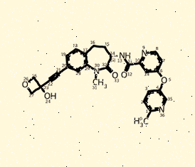 Cc1ccc(Oc2ccnc(C(=O)N[C@H]3CCc4ccc(C#CC5(O)COC5)cc4N(C)C3=O)c2)cn1